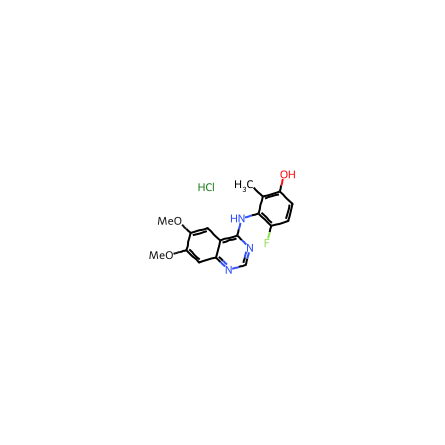 COc1cc2ncnc(Nc3c(F)ccc(O)c3C)c2cc1OC.Cl